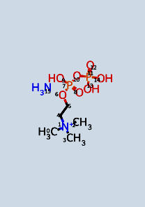 C[N+](C)(C)CCOP(=O)(O)OP(=O)(O)O.N